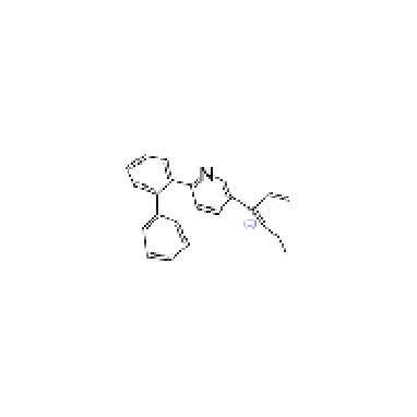 C=C/C(=C\CC)c1ccc(-c2ccccc2-c2ccccc2)nc1